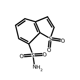 NS(=O)(=O)c1cccc2c1S(=O)(=O)C=C2